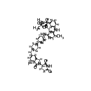 Cc1cnc(Nc2ccc(N3CCN(Cc4cc(F)c5c(c4)CN(C4CCC(=O)NC4=O)C5=O)CC3)nn2)nc1Nc1cccc(S(=O)(=O)NC(C)(C)C)c1